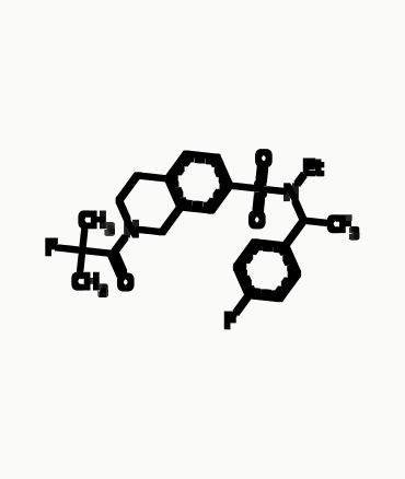 CCN(C(c1ccc(F)cc1)C(F)(F)F)S(=O)(=O)c1ccc2c(c1)CN(C(=O)C(C)(C)F)CC2